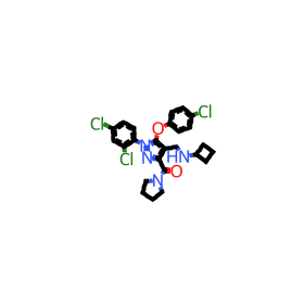 O=C(c1nn(-c2ccc(Cl)cc2Cl)c(Oc2ccc(Cl)cc2)c1CNC1CCC1)N1CCCC1